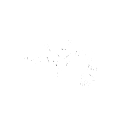 CCCSC(=S)NCC12CN(c3c(F)cc4c(=O)c(C(=O)O)cn(C5CC5)c4c3F)CC1CCO2